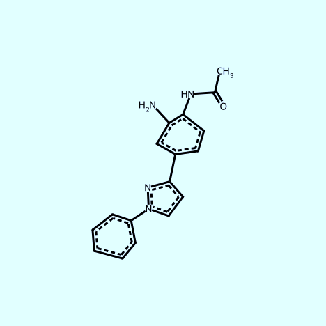 CC(=O)Nc1ccc(-c2ccn(-c3ccccc3)n2)cc1N